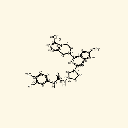 CCCc1cc2c(N3CCn4c(nnc4C(F)(F)F)C3)nc(N3CC[C@H](NC(=O)Nc4ccc(F)c(F)c4)C3)nc2s1